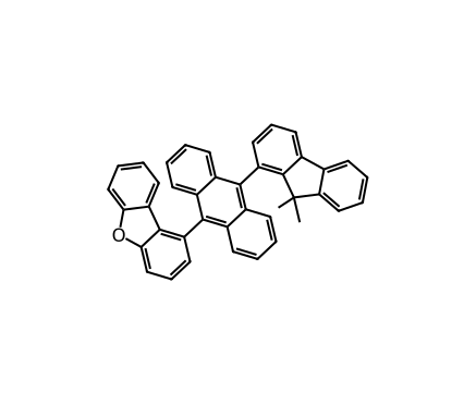 CC1(C)c2ccccc2-c2cccc(-c3c4ccccc4c(-c4cccc5oc6ccccc6c45)c4ccccc34)c21